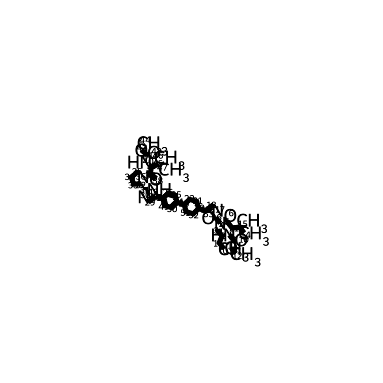 CCCCN(C(=O)[C@@H](NC(=O)OC)C(C)C)c1ncc(C2CCC(c3ccc(-c4cnc([C@@H]5CCCN5C(=O)[C@H](NC(=O)OC)C(C)C)[nH]4)cc3)CC2)o1